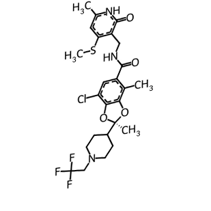 CSc1cc(C)[nH]c(=O)c1CNC(=O)c1cc(Cl)c2c(c1C)O[C@@](C)(C1CCN(CC(F)(F)F)CC1)O2